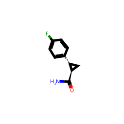 NC(=O)[C@@H]1C[C@H]1c1ccc(F)cc1